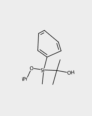 CC(C)O[Si](C)(c1ccccc1)C(C)(C)O